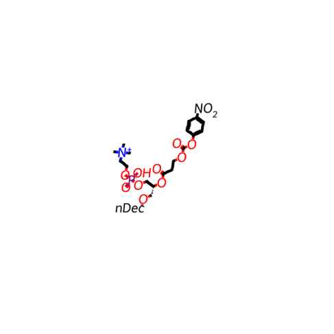 CCCCCCCCCCOC[C@H](COP(=O)(O)OCC[N+](C)(C)C)OC(=O)CCOC(=O)Oc1ccc([N+](=O)[O-])cc1